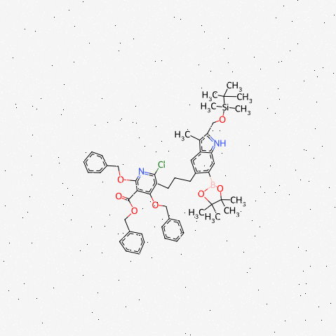 Cc1c(CO[Si](C)(C)C(C)(C)C)[nH]c2cc(B3OC(C)(C)C(C)(C)O3)c(CCCc3c(Cl)nc(OCc4ccccc4)c(C(=O)OCc4ccccc4)c3OCc3ccccc3)cc12